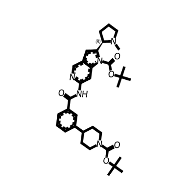 CN1CCC[C@@H]1c1cc2cnc(NC(=O)c3cccc(C4CCN(C(=O)OC(C)(C)C)CC4)c3)cc2n1C(=O)OC(C)(C)C